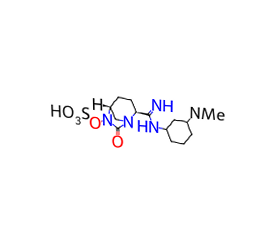 CNC1CCCC(NC(=N)[C@@H]2CC[C@@H]3CN2C(=O)N3OS(=O)(=O)O)C1